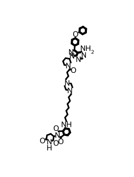 Nc1ncnc2c1c(-c1ccc(Oc3ccccc3)cc1)nn2[C@@H]1CCCN(C(=O)CCCN2CCN(CCCCCCCCCNc3cccc4c3C(=O)N(C3CCC(=O)NC3=O)C4=O)CC2)C1